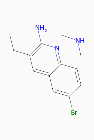 CCc1cc2cc(Br)ccc2nc1N.CNC